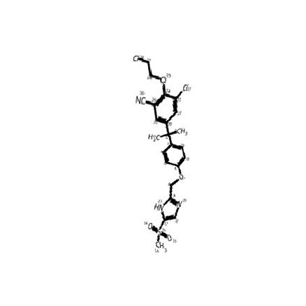 CC(C)(c1ccc(OCc2ncc(S(C)(=O)=O)[nH]2)cc1)c1cc(Cl)c(OCCCl)c(C#N)c1